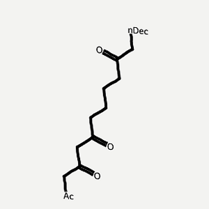 CCCCCCCCCCCC(=O)CCCCC(=O)CC(=O)CC(C)=O